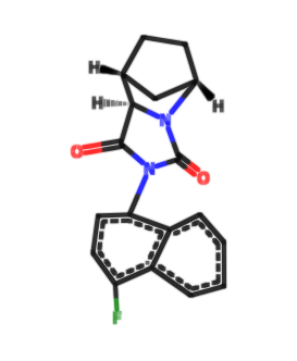 O=C1[C@H]2[C@@H]3CC[C@@H](C3)N2C(=O)N1c1ccc(F)c2ccccc12